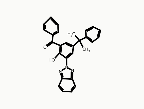 CC(C)(c1ccccc1)c1cc(C(=O)c2ccccc2)c(O)c(-n2nc3ccccc3n2)c1